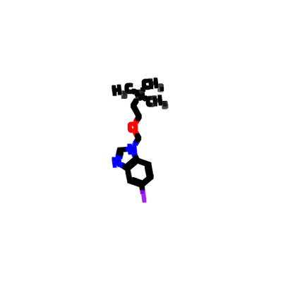 C[Si](C)(C)CCOCn1cnc2cc(I)ccc21